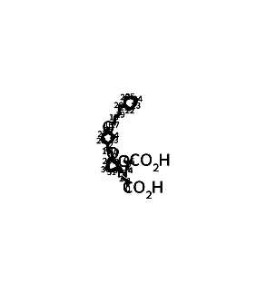 O=C(O)CCN1CC(C(=O)O)Oc2c(OCc3ccc(OCCCCc4ccccc4)cc3)cccc21